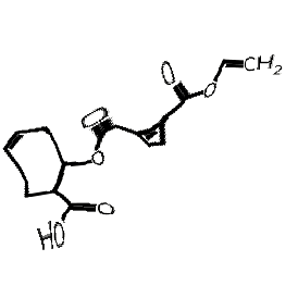 C=COC(=O)C1=C(C(=O)OC2CC=CCC2C(=O)O)C1